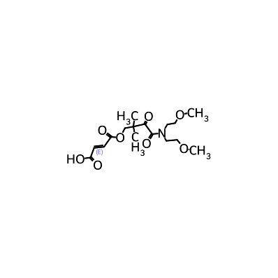 COCCN(CCOC)C(=O)C(=O)C(C)(C)COC(=O)/C=C/C(=O)O